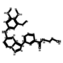 CCc1cc(Nc2ccn3ncc(-c4cccc(C(=O)NCCO)c4)c3n2)cc(OC)c1OC